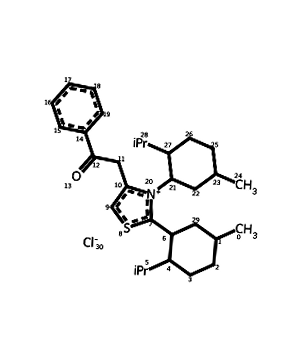 CC1CCC(C(C)C)C(c2scc(CC(=O)c3ccccc3)[n+]2C2CC(C)CCC2C(C)C)C1.[Cl-]